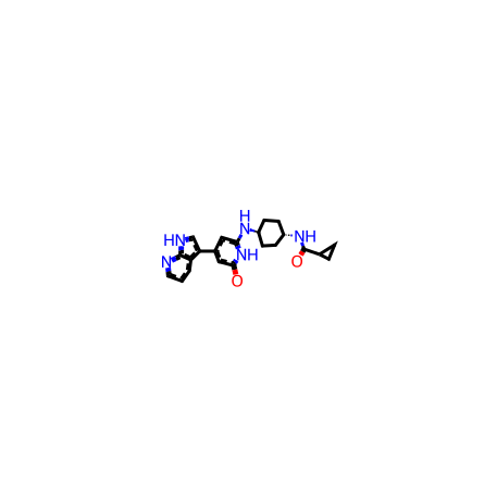 O=C(N[C@H]1CC[C@H](Nc2cc(-c3c[nH]c4ncccc34)cc(=O)[nH]2)CC1)C1CC1